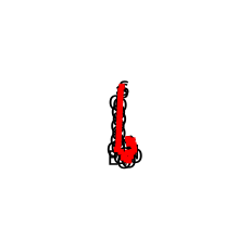 CCC1(OC(=O)CCC(=O)OCCOCCOCCOCCOCCOCCOC(=O)CCCCC2CCSS2)C(=O)OCc2c1cc1n(c2=O)Cc2cc3ccccc3nc2-1